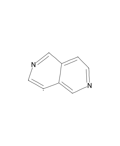 [c]1cncc2ccncc12